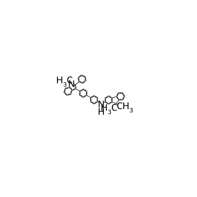 Cn1c(-c2ccccc2)c(-c2ccc(-c3ccc(Nc4ccc5c(c4)C(C)(C)c4ccccc4-5)cc3)cc2)c2ccccc21